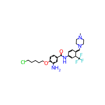 CN1CCN(C=C2C=CC(NC(=O)c3ccc(OCCCCCCl)c(N)c3)=CC2C(F)(F)F)CC1